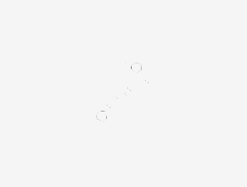 CCN(CC)CC1(c2cccc(C(F)(F)F)c2)CCN(C(=O)CN2CCN(c3cccc(OC)c3)CC2)CC1.Cl.Cl